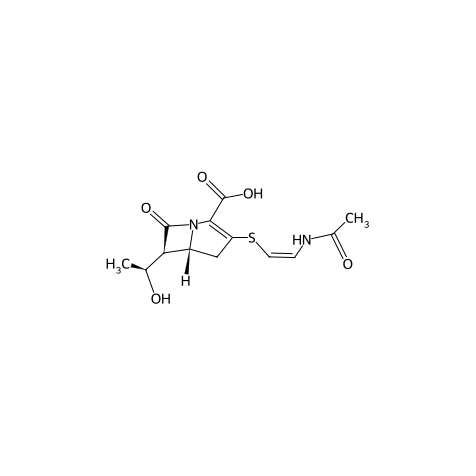 CC(=O)N/C=C\SC1=C(C(=O)O)N2C(=O)[C@H]([C@H](C)O)[C@H]2C1